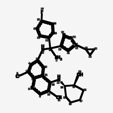 BC(Nc1cc(Cl)c2ncc(C#N)c(N[C@H]3CCCC[C@@H]3O)c2c1)(c1ccc(F)cc1)c1cn(C2CC2)nn1